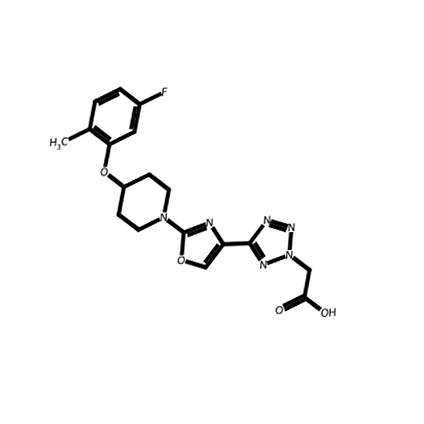 Cc1ccc(F)cc1OC1CCN(c2nc(-c3nnn(CC(=O)O)n3)co2)CC1